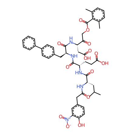 Cc1cccc(C)c1C(=O)OCC(=O)[C@H](CC(=O)O)NC(=O)[C@H](Cc1ccc(-c2ccccc2)cc1)NC(=O)[C@H](CCC(=O)O)NC(=O)[C@H](CC(C)C)NC(=O)Cc1ccc(O)c([N+](=O)[O-])c1